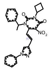 CC(c1ccccc1)n1c(/C=C/c2cnn(-c3ccccc3)c2)c([N+](=O)[O-])c(=O)n(C2CCC2)c1=O